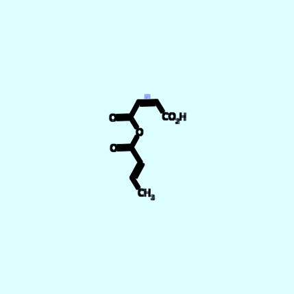 CC=CC(=O)OC(=O)/C=C\C(=O)O